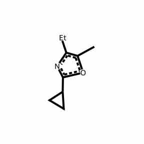 CCc1nc(C2CC2)oc1C